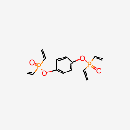 C=CP(=O)(C=C)Oc1ccc(OP(=O)(C=C)C=C)cc1